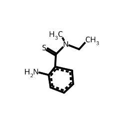 CCN(C)C(=S)c1ccccc1N